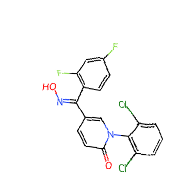 O=c1ccc(C(=NO)c2ccc(F)cc2F)cn1-c1c(Cl)cccc1Cl